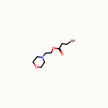 O=C(CCS)OCCN1CCOCC1